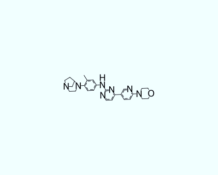 Cc1cc(Nc2nccc(-c3ccc(N4CCOCC4)nc3)n2)ccc1N1CCN2CCC1C2